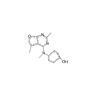 Cc1nc(N(C)c2ccc(O)cc2)c2c(C)coc2n1